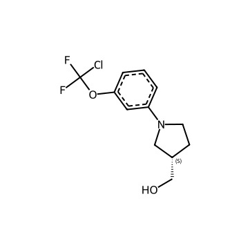 OC[C@H]1CCN(c2cccc(OC(F)(F)Cl)c2)C1